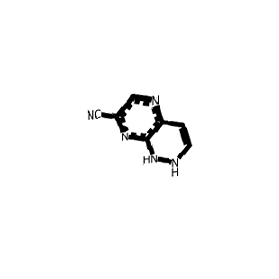 N#Cc1cnc2c(n1)NNC=C2